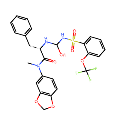 CN(C(=O)[C@H](Cc1ccccc1)NC(O)NS(=O)(=O)c1ccccc1OC(F)(F)F)c1ccc2c(c1)OCO2